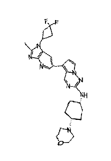 Cc1nc2ncc(-c3ccn4nc(N[C@H]5CC[C@@H](N6CCOCC6)CC5)ncc34)cc2n1C1CC(F)(F)C1